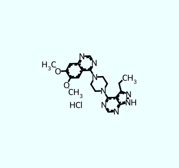 CCc1n[nH]c2ncnc(N3CCN(c4ncnc5cc(OC)c(OC)cc45)CC3)c12.Cl